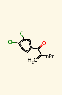 C=C(CCC)C(=O)c1ccc(Cl)c(Cl)c1